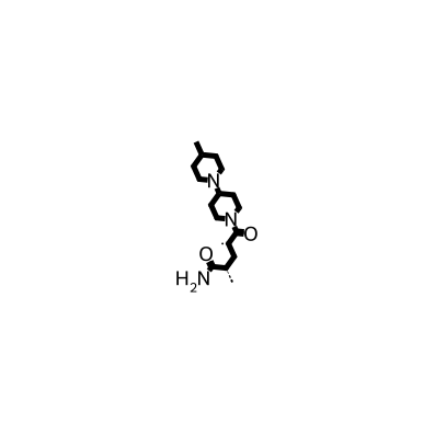 CC1CCN(C2CCN(C(=O)[CH]C[C@H](C)C(N)=O)CC2)CC1